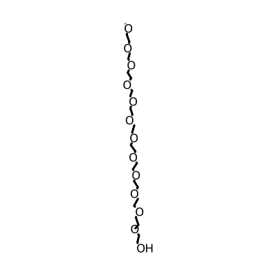 COCCOCCOCCOCCOCCOCCOCCOCCOCCOCCOCCOCCO